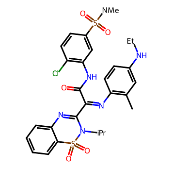 CCNc1ccc(/N=C(\C(=O)Nc2cc(S(=O)(=O)NC)ccc2Cl)C2=Nc3ccccc3S(=O)(=O)N2C(C)C)c(C)c1